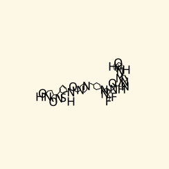 O=C1CCC(c2nsc3c(NC(=O)CN4CCN(CC5CCC(n6cc(NC(=O)c7cnn8ccc(N9C[C@@H]%10C[C@H]9CO%10)nc78)c(C(F)F)n6)CC5)CC4)cccc23)C(=O)N1